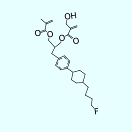 C=C(C)C(=O)OCC(COC(=O)C(=C)CO)Cc1ccc(C2CCC(CCCCF)CC2)cc1